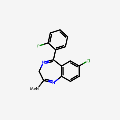 CNC1=Nc2ccc(Cl)cc2C(c2ccccc2F)=NC1